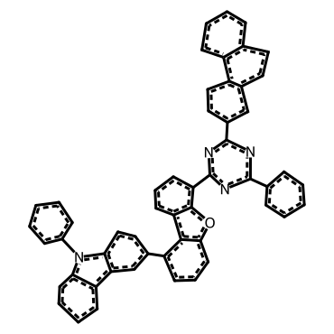 c1ccc(-c2nc(-c3ccc4c(ccc5ccccc54)c3)nc(-c3cccc4c3oc3cccc(-c5ccc6c(c5)c5ccccc5n6-c5ccccc5)c34)n2)cc1